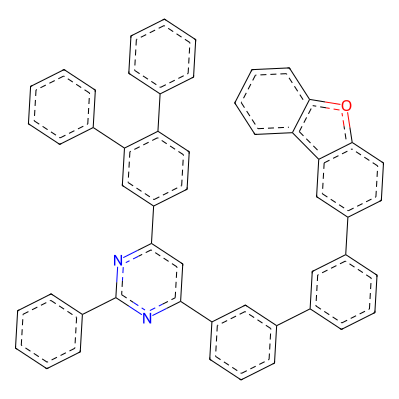 c1ccc(-c2nc(-c3cccc(-c4cccc(-c5ccc6oc7ccccc7c6c5)c4)c3)cc(-c3ccc(-c4ccccc4)c(-c4ccccc4)c3)n2)cc1